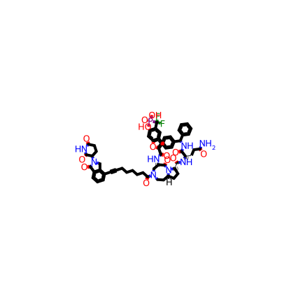 NC(=O)CC[C@H](NC(=O)[C@@H]1CC[C@@H]2CCN(C(=O)CCCCCC#Cc3cccc4c3CN(C3CCC(=O)NC3=O)C4=O)C[C@H](NC(=O)c3cc4cc(C(F)(F)P(=O)(O)O)ccc4o3)C(=O)N21)C(=O)NC(c1ccccc1)c1ccccc1